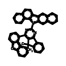 CC1(C)c2ccccc2-c2nc(-n3c4cc5ccccc5cc4c4ccc5ccccc5c43)nc(-c3cccc4oc5ccccc5c34)c21